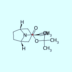 CC(C)(C)OC(=O)N1[C@@H]2CC[C@H]1C[C@H](C#N)C2